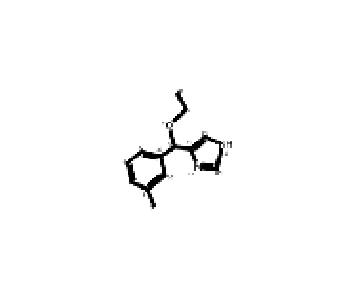 CCOC(c1cccc(C)c1)c1c[nH]cn1